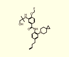 C=CCCc1ccc(NC(=O)c2ccc(OCF)c(NC(C)(C)CO)c2)c(N2CCC3(CC2)CC3)c1